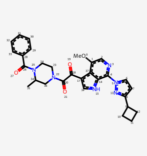 COc1cnc(-n2ccc(C3CCC3)n2)c2[nH]cc(C(=O)C(=O)N3CCN(C(=O)c4ccccc4)C(C)C3)c12